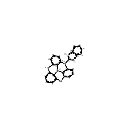 c1cc2c3c(c1)Oc1cccc4c1B3c1c(cccc1N4c1nc3ccccc3o1)O2